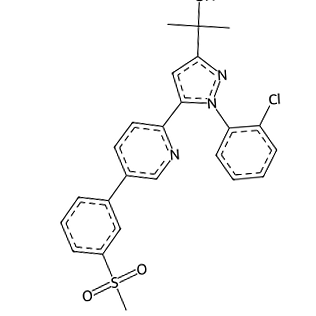 CC(C)(O)c1cc(-c2ccc(-c3cccc(S(C)(=O)=O)c3)cn2)n(-c2ccccc2Cl)n1